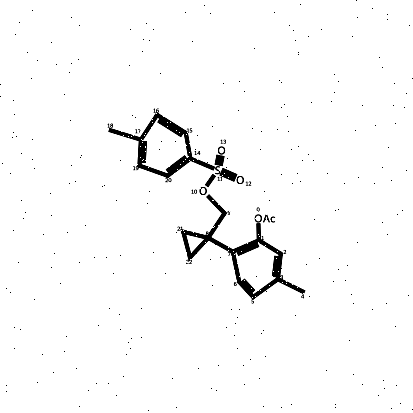 CC(=O)Oc1cc(C)ccc1C1(COS(=O)(=O)c2ccc(C)cc2)CC1